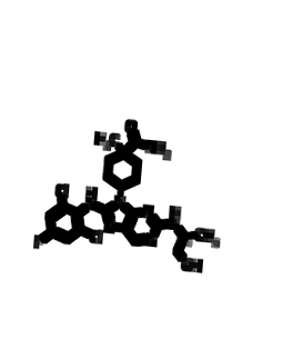 C[C@@H](CO)Nc1ncc2nc(Nc3c(Cl)cc(F)cc3Cl)n([C@H]3CC[C@@](C)(C(N)=O)CC3)c2n1